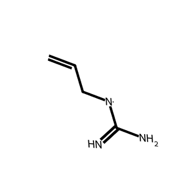 C=CC[N]C(=N)N